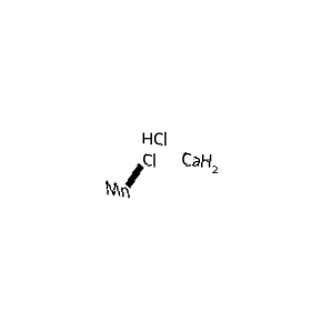 Cl.[CaH2].[Cl][Mn]